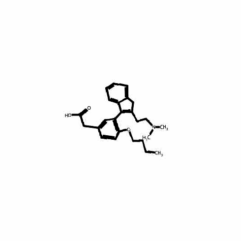 CCCCOc1ccc(CC(=O)O)cc1C1=C(CCN(C)C)Cc2ccccc21